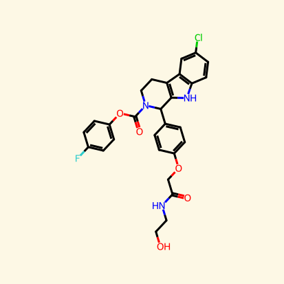 O=C(COc1ccc(C2c3[nH]c4ccc(Cl)cc4c3CCN2C(=O)Oc2ccc(F)cc2)cc1)NCCO